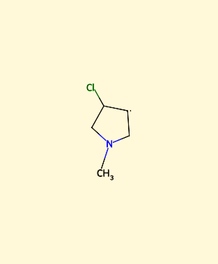 CN1C[CH]C(Cl)C1